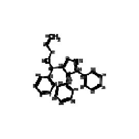 C=CCOC(c1ccccc1)c1cnc(-c2ccccc2)n1-c1ccccc1